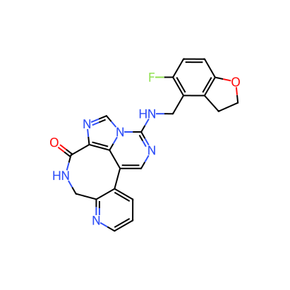 O=C1NCc2ncccc2-c2cnc(NCc3c(F)ccc4c3CCO4)n3cnc1c23